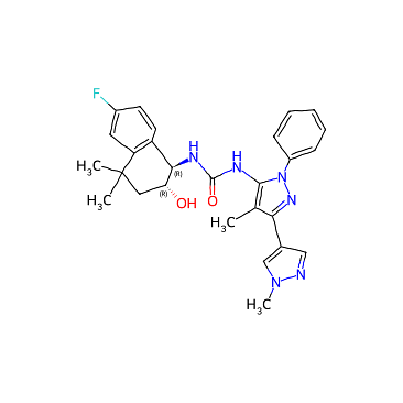 Cc1c(-c2cnn(C)c2)nn(-c2ccccc2)c1NC(=O)N[C@@H]1c2ccc(F)cc2C(C)(C)C[C@H]1O